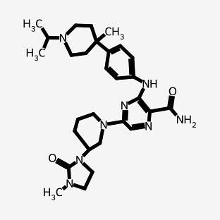 CC(C)N1CCC(C)(c2ccc(Nc3nc(N4CCCC(N5CCN(C)C5=O)C4)cnc3C(N)=O)cc2)CC1